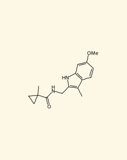 COc1ccc2c(C)c(CNC(=O)C3(C)CC3)[nH]c2c1